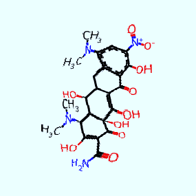 CN(C)c1cc([N+](=O)[O-])c(O)c2c1CC1C(=C(O)[C@]3(O)C(=O)C(C(N)=O)=C(O)[C@@H](N(C)C)C3[C@H]1O)C2=O